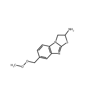 COOCc1ccc2c(c1)nc1n2CC(N)S1